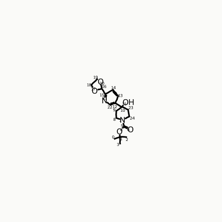 CC(C)(C)OC(=O)N1CCC(O)(c2ccc(C3OCCO3)nc2)CC1